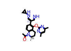 CC(=O)N1c2ccc(/C(C=N)=C/NC3CC3)c(Oc3nc(C)cc(C)n3)c2CC[C@@H]1C